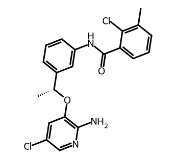 Cc1cccc(C(=O)Nc2cccc([C@@H](C)Oc3cc(Cl)cnc3N)c2)c1Cl